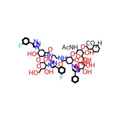 CC(=O)NC1C(O[C@@H](CC2CCCCC2)C(=O)O)[C@@H](O)C(CO)O[C@H]1O[C@@H]1CC(C(=O)NCCNC(=O)C2CC(n3cc(-c4cccc(F)c4)nn3)C(O)[C@H](O[C@@H]3OC(CO)[C@H](O)C(n4cc(-c5cccc(F)c5)nn4)C3O)C2)CC(n2cc(-c3ccccc3)nn2)C1O[C@@H]1OC(C)[C@@H](O)C(O)C1O